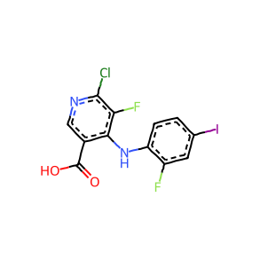 O=C(O)c1cnc(Cl)c(F)c1Nc1ccc(I)cc1F